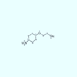 NC1CCC(OCCO)CC1